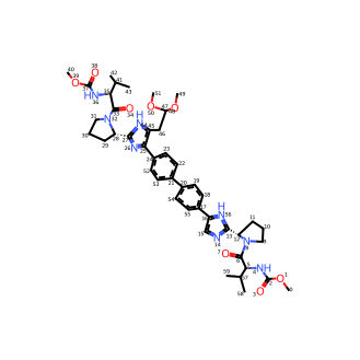 COC(=O)N[C@H](C(=O)N1CCC[C@H]1c1ncc(-c2ccc(-c3ccc(-c4nc([C@@H]5CCCN5C(=O)[C@@H](NC(=O)OC)C(C)C)[nH]c4CC(OC)OC)cc3)cc2)[nH]1)C(C)C